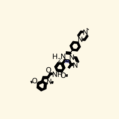 C=C([C@H]1CC[C@H](N2CCN(C)CC2)CC1)N1C=CN=C(C)/C1=C(/N)c1ccc(NC(=O)c2cc3c(OC)cccc3n2C)c(OC)c1